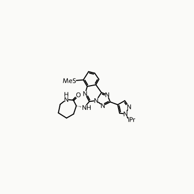 CSc1cccc2c1nc(N[C@@H]1CCCCNC1=O)n1nc(-c3cnn(C(C)C)c3)nc21